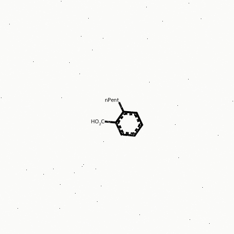 [CH2]CCCCc1ccccc1C(=O)O